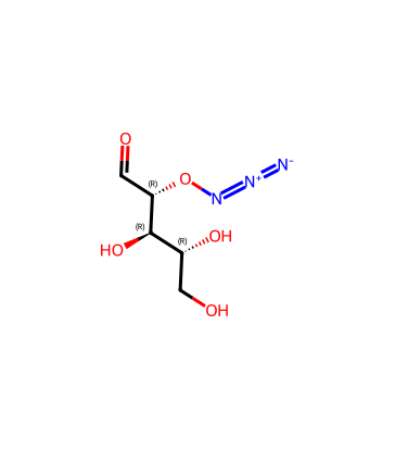 [N-]=[N+]=NO[C@@H](C=O)[C@H](O)[C@H](O)CO